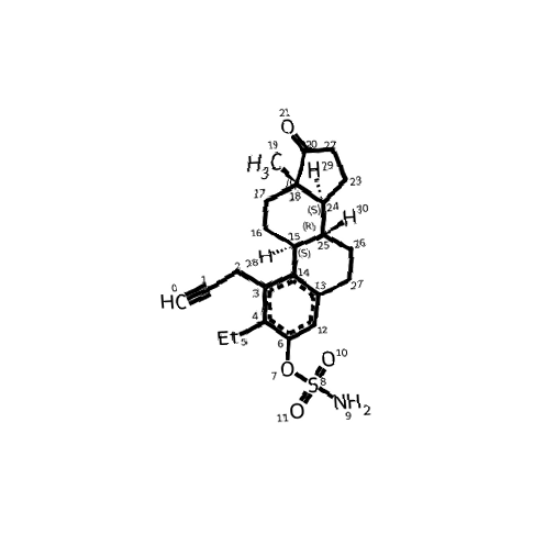 C#CCc1c(CC)c(OS(N)(=O)=O)cc2c1[C@H]1CC[C@]3(C)C(=O)CC[C@H]3[C@@H]1CC2